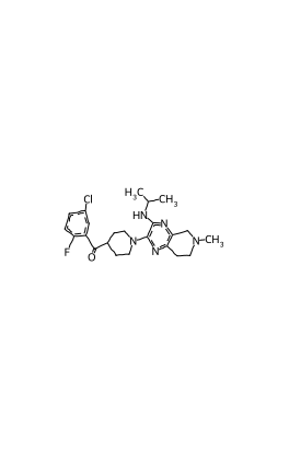 CC(C)Nc1nc2c(nc1N1CCC(C(=O)c3cc(Cl)ccc3F)CC1)CCN(C)C2